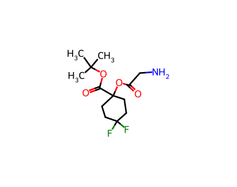 CC(C)(C)OC(=O)C1(OC(=O)CN)CCC(F)(F)CC1